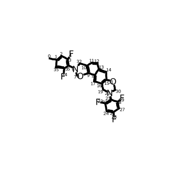 Cc1cc(F)c(N2COc3c(ccc4cc5c(cc34)CN(c3c(F)cc(F)cc3F)CO5)C2)c(F)c1